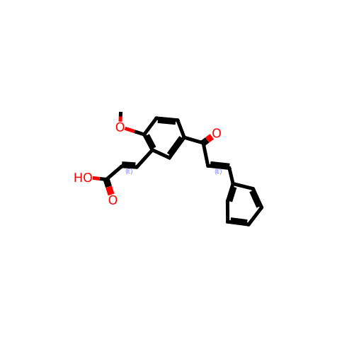 COc1ccc(C(=O)/C=C/c2ccccc2)cc1/C=C/C(=O)O